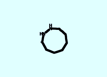 [CH]1CCCCCCNN1